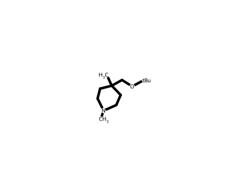 CN1CCC(C)(COC(C)(C)C)CC1